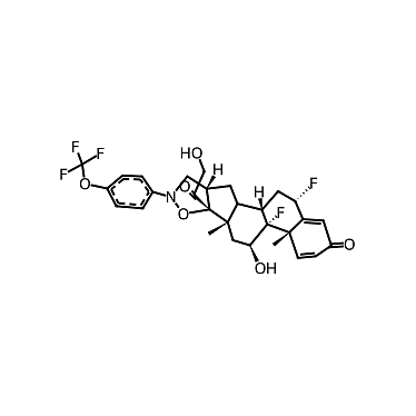 C[C@]12C=CC(=O)C=C1[C@@H](F)C[C@H]1C3C[C@H]4CN(c5ccc(OC(F)(F)F)cc5)O[C@@]4(C(=O)CO)[C@@]3(C)C[C@H](O)[C@@]12F